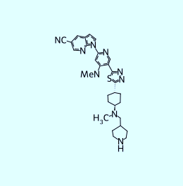 CNc1cc(-n2ccc3cc(C#N)cnc32)ncc1-c1nnc([C@H]2CC[C@H](N(C)CC3CCNCC3)CC2)s1